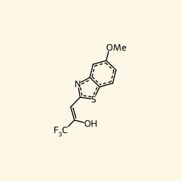 COc1ccc2sc(/C=C(\O)C(F)(F)F)nc2c1